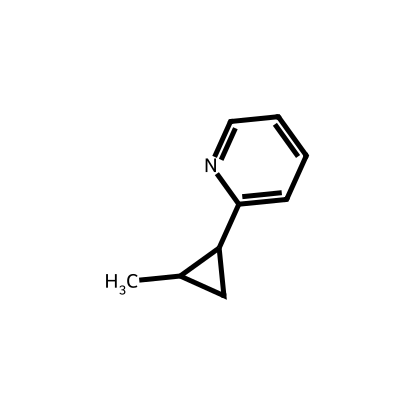 CC1CC1c1ccccn1